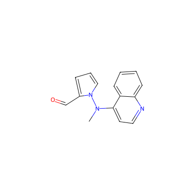 CN(c1ccnc2ccccc12)n1cccc1C=O